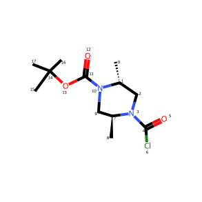 C[C@@H]1CN(C(=O)Cl)[C@@H](C)CN1C(=O)OC(C)(C)C